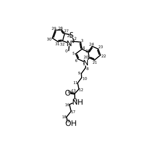 C[n+]1c(C=C2C=CN(CCCCCC(=O)NCCCO)c3ccccc32)sc2ccccc21